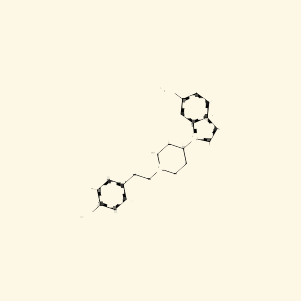 N#Cc1ccc2ccn(C3CCN(CCc4ccc(F)cc4)CC3)c2c1